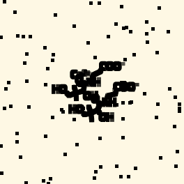 CC(C)(CO)C(O)C(=O)NCCC(=O)[O-].CC(C)(CO)C(O)C(=O)NCCC(=O)[O-].[Ca+2].[P]